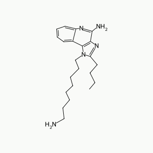 CCCCc1nc2c(N)nc3ccccc3c2n1CCCCCCCCN